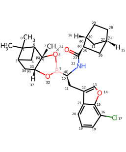 CC1(C)C2CC1[C@]1(C)OB([C@H](Cc3coc4c(Cl)cccc34)NC(=O)[C@@H]3C[C@H]4CC[C@@H]3C4)O[C@@H]1C2